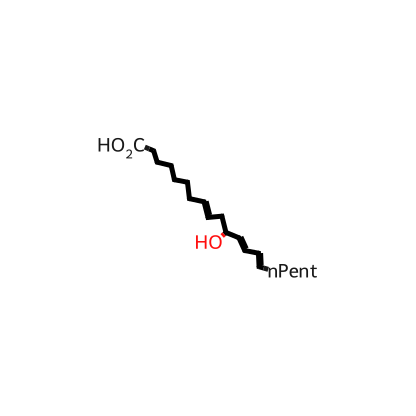 CCCCCC=CC=CC(O)CC=CCCCCCCC(=O)O